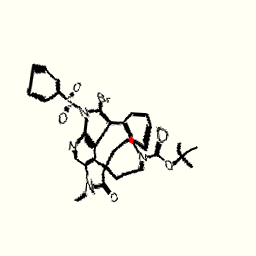 CN1C(=O)C2(CCN(C(=O)OC(C)(C)C)CC2)c2c1cnc1c2c(-c2ccccc2)c(Br)n1S(=O)(=O)c1ccccc1